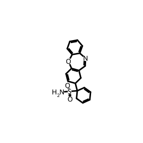 NS(=O)(=O)C1(C2C=CC3=C(C=Nc4ccccc4O3)C2)C=CC=CC1